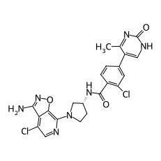 Cc1nc(=O)[nH]cc1-c1ccc(C(=O)N[C@@H]2CCN(c3ncc(Cl)c4c(N)noc34)C2)c(Cl)c1